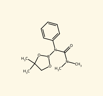 CN(C)C(=O)N(B1OCC(C)(C)O1)c1ccccc1